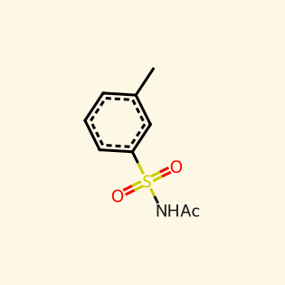 CC(=O)NS(=O)(=O)c1cccc(C)c1